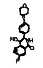 O=c1[nH]c(-c2ccc(N3CCOCC3)cc2)c(O)c2ccc(F)cc12